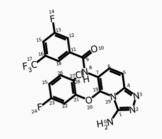 Nc1nnc2ccc(NC(=O)c3cc(F)cc(C(F)(F)F)c3)c(Oc3cc(F)ccc3Cl)n12